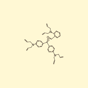 C=CCN(CC=C)c1ccc(C(=O)c2ccc(N(CC=C)CC=C)cc2)cc1.C=CCN(CC=C)c1ccccc1C=O